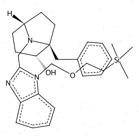 C[Si](C)(C)CCOCn1c(CN2[C@@H]3CC[C@@H](O)[C@@]2(Cc2ccccc2)CC3)nc2ccccc21